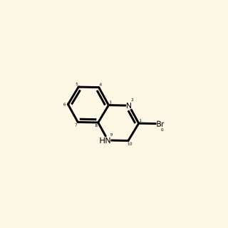 BrC1=Nc2ccccc2NC1